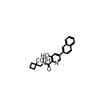 O=C(NCC1(C(=O)O)CCC1)c1ncc(-c2ccc3ccccc3c2)cc1O